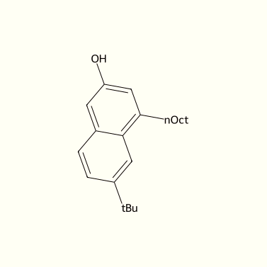 CCCCCCCCc1cc(O)cc2ccc(C(C)(C)C)cc12